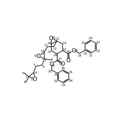 CC1(C)OC1CCC1(C)OC1CCC12CC(C(=O)OCc3ccccc3)C(C(=O)OCc3ccccc3)CC1O2